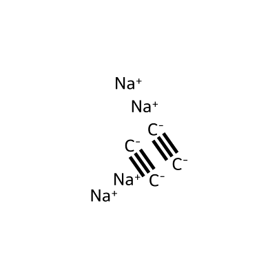 [C-]#[C-].[C-]#[C-].[Na+].[Na+].[Na+].[Na+]